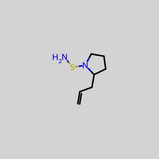 C=CCC1CCCN1SN